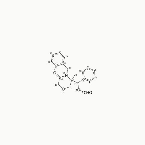 CC1(C(OC=O)c2ccccc2)COCC(=O)N1Cc1ccccc1